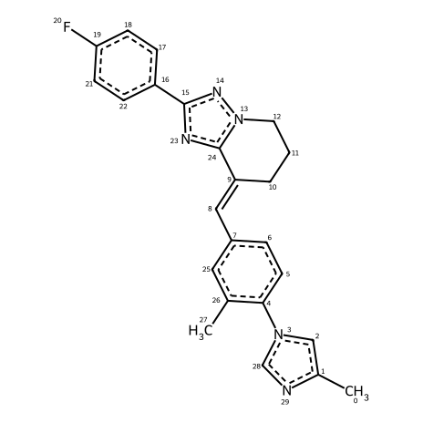 Cc1cn(-c2ccc(/C=C3\CCCn4nc(-c5ccc(F)cc5)nc43)cc2C)cn1